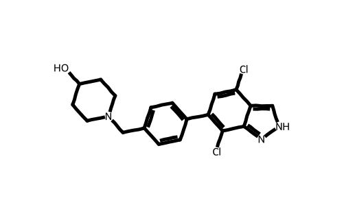 OC1CCN(Cc2ccc(-c3cc(Cl)c4c[nH]nc4c3Cl)cc2)CC1